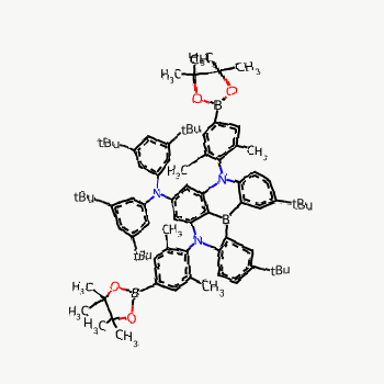 Cc1cc(B2OC(C)(C)C(C)(C)O2)cc(C)c1N1c2ccc(C(C)(C)C)cc2B2c3cc(C(C)(C)C)ccc3N(c3c(C)cc(B4OC(C)(C)C(C)(C)O4)cc3C)c3cc(N(c4cc(C(C)(C)C)cc(C(C)(C)C)c4)c4cc(C(C)(C)C)cc(C(C)(C)C)c4)cc1c32